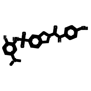 CN(C)c1ccc(F)c(NS(=O)(=O)c2ccc3c(c2)CN(C(=O)Nc2ccc(C(C)(C)C)cc2)C3)c1